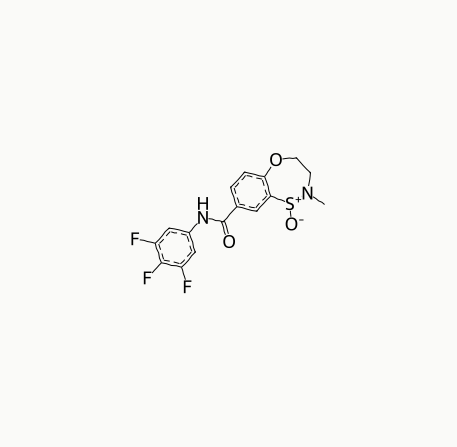 CN1CCOc2ccc(C(=O)Nc3cc(F)c(F)c(F)c3)cc2[S+]1[O-]